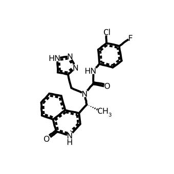 C[C@H](c1c[nH]c(=O)c2ccccc12)N(Cc1c[nH]nn1)C(=O)Nc1ccc(F)c(Cl)c1